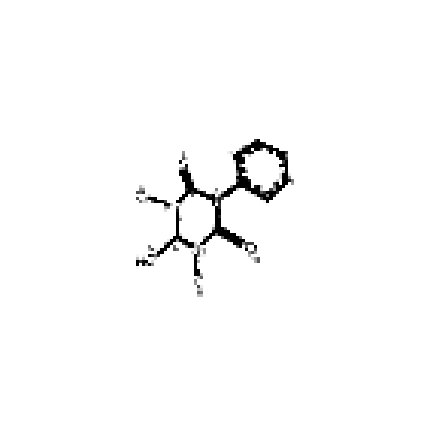 O=C1N(c2ccccc2)C(=O)N(Cl)C(O)N1Cl